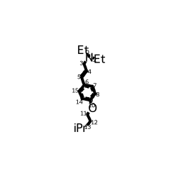 CCN(CC)CC=Cc1ccc(OCCC(C)C)cc1